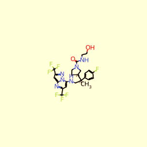 C[C@@](CNc1cc(C(F)(F)F)nc2cc(C(F)(F)F)nn12)(c1ccc(F)cc1)[C@H]1CCN(C(=O)NCCO)C1